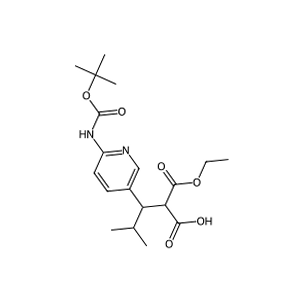 CCOC(=O)C(C(=O)O)C(c1ccc(NC(=O)OC(C)(C)C)nc1)C(C)C